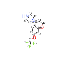 FC(F)(F)COc1ccc2c(c1)OCCC2N1CCNCC1